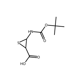 CC(C)(C)OC(=O)NC1SC1C(=O)O